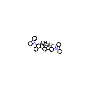 CC1(C)c2cc(-n3c4ccccc4c4ccccc43)ccc2-c2ccc3c(c21)C(C)(C)c1cc(-n2c4ccccc4c4ccccc42)c2ccccc2c1-3